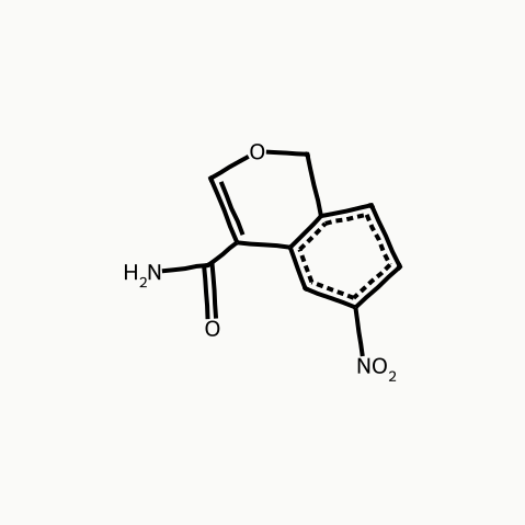 NC(=O)C1=COCc2ccc([N+](=O)[O-])cc21